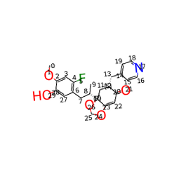 COc1cc(F)c(CC(C)[C@]23C[C@H](Cc4ccncc4)C(=O)C=C2OCO3)cc1O